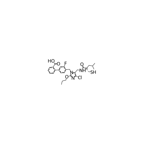 CCCOc1nc(Cl)c(CNC(=O)[C@@H](CS)CC(C)C)n1Cc1ccc(-c2ccccc2C(=O)O)cc1F